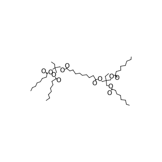 CCCCCCCC(=O)OCC(CC)(COC(=O)CCCCCCC)COC(=O)CCCCCCCCC(=O)OCC(CC)(COC(=O)CCCCCCC)COC(=O)CCCCCCC